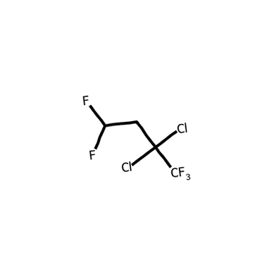 FC(F)CC(Cl)(Cl)C(F)(F)F